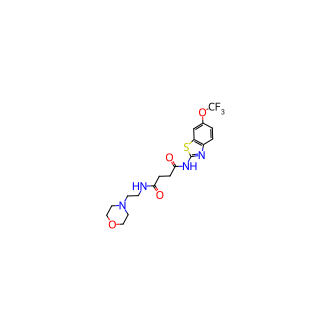 O=C(CCC(=O)Nc1nc2ccc(OC(F)(F)F)cc2s1)NCCN1CCOCC1